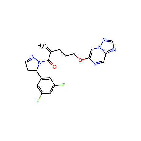 C=C(CCCOc1cn2ncnc2cn1)C(=O)N1N=CCC1c1cc(F)cc(F)c1